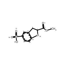 COC(=O)C1Cc2cc(S(=O)(=O)Cl)ccc2O1